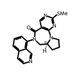 CSc1ncc2c(n1)N1CCC[C@H]1CN(c1cccc3ccncc13)C2=O